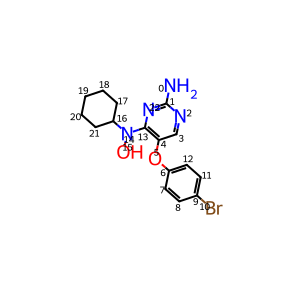 Nc1ncc(Oc2ccc(Br)cc2)c(N(O)C2CCCCC2)n1